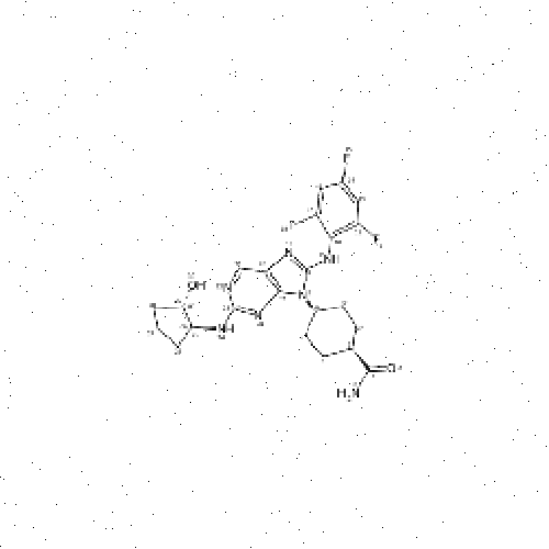 NC(=O)[C@H]1CC[C@@H](n2c(Nc3c(F)cc(F)cc3F)nc3cnc(N[C@H]4CCC[C@@H]4O)nc32)CC1